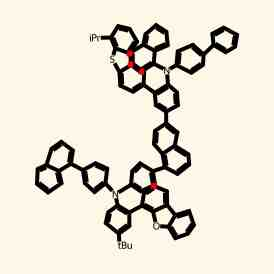 CC(C)c1cccc2c1sc1ccc(-c3cc(-c4ccc5c(-c6ccc(N(c7ccc(-c8cccc9ccccc89)cc7)c7ccc(C(C)(C)C)cc7-c7cccc8c7oc7ccccc78)cc6)cccc5c4)ccc3N(c3ccc(-c4ccccc4)cc3)c3cccc4ccccc34)cc12